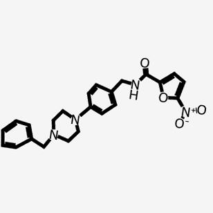 O=C(NCc1ccc(N2CCN(Cc3ccccc3)CC2)cc1)c1ccc([N+](=O)[O-])o1